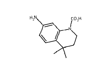 CC1(C)CCN(C(=O)O)c2cc(N)ccc21